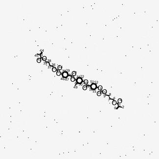 C=C(C)C(=O)OCCCCOC(=O)Oc1ccc(C(=O)Oc2ccc(OC(=O)c3ccc(OC(=O)OCCCCOC(=O)C(=C)C)cc3)c(C)c2)cc1